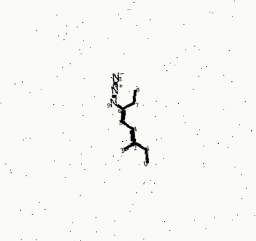 CC/C(C)=C/C=C(\CC)N=[N+]=[N-]